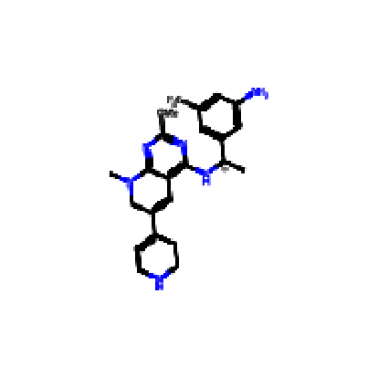 COc1nc(N[C@H](C)c2cc(N)cc(C(F)(F)F)c2)c2c(n1)N(C)CC(C1=CCNCC1)=C2